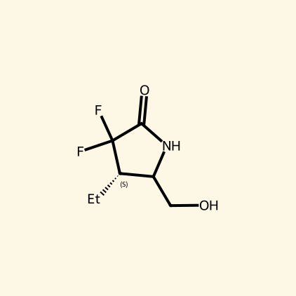 CC[C@H]1C(CO)NC(=O)C1(F)F